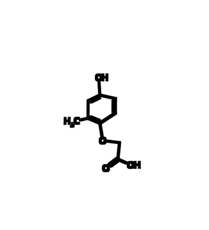 Cc1cc(O)ccc1OCC(=O)O